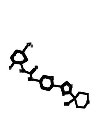 O=C(Nc1ccc(-c2cnc(C3(O)CCOCC3)s2)nc1)Nc1cc(C(F)(F)F)ccc1F